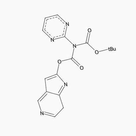 CC(C)(C)OC(=O)N(C(=O)OC1=CC2=CN=CCC2=N1)c1ncccn1